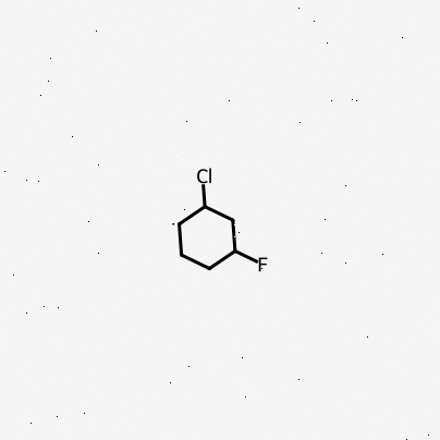 FC1CC[CH]C(Cl)C1